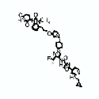 Cn1c(=O)n(C2CCC(=O)NC2=O)c2cccc(CCCO[C@@H]3CCN(C[C@H]4CC[C@H](n5cc(NC(=O)c6coc(-c7ccnc(NCC8CC8)c7)n6)c(C(F)F)n5)CC4)C3)c21